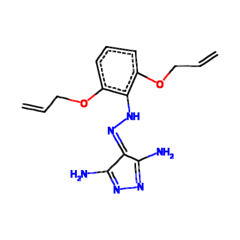 C=CCOc1cccc(OCC=C)c1NN=C1C(N)=NN=C1N